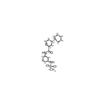 CS(=O)(=O)Nc1cccc(NC(=O)c2cc(-c3ccccc3)ccn2)c1